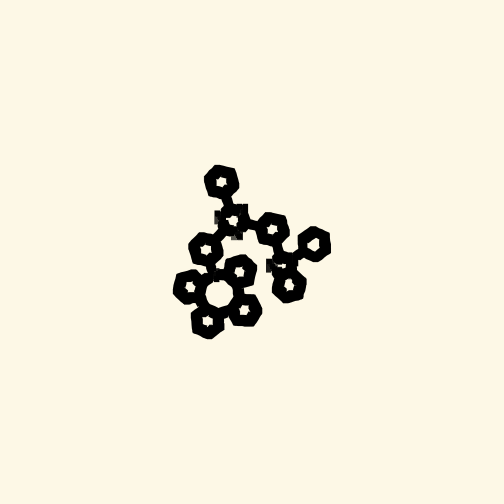 C1=CCC(n2c(-c3cccc(-c4nc(-c5ccccc5)nc(-c5cccc(-n6c7ccccc7c7ccccc7c7ccccc7c7ccccc76)c5)n4)c3)nc3ccccc32)C=C1